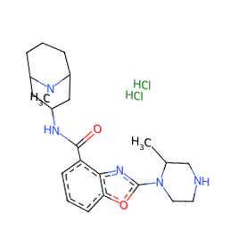 CC1CNCCN1c1nc2c(C(=O)NC3CC4CCCC(C3)N4C)cccc2o1.Cl.Cl